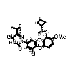 COc1ccc(Oc2c(Cl)cc(-n3nc(C(F)F)c(=O)[nH]c3=O)cc2Cl)cc1SN(C)C1CCC1